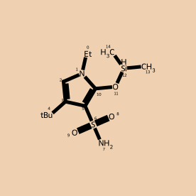 CCn1cc(C(C)(C)C)c(S(N)(=O)=O)c1O[SiH](C)C